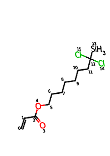 C=CC(=O)OCCCCCCCC([SiH3])(Cl)Cl